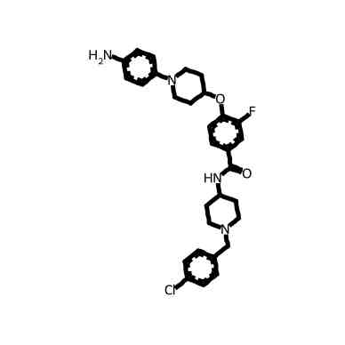 Nc1ccc(N2CCC(Oc3ccc(C(=O)NC4CCN(Cc5ccc(Cl)cc5)CC4)cc3F)CC2)cc1